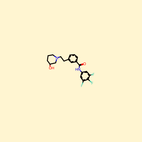 O=C(Nc1cc(F)c(F)c(F)c1)c1cccc(CCN2CCCC(O)C2)c1